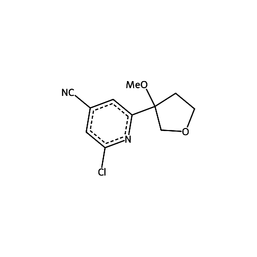 COC1(c2cc(C#N)cc(Cl)n2)CCOC1